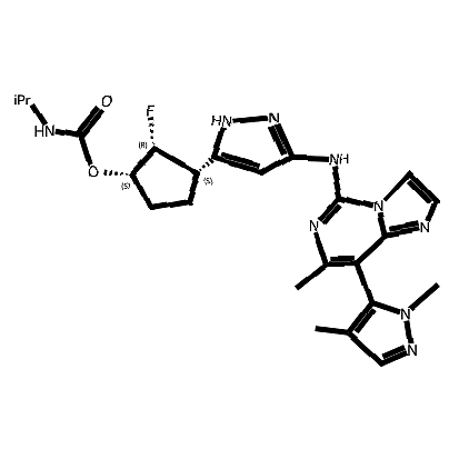 Cc1cnn(C)c1-c1c(C)nc(Nc2cc([C@@H]3CC[C@H](OC(=O)NC(C)C)[C@@H]3F)[nH]n2)n2ccnc12